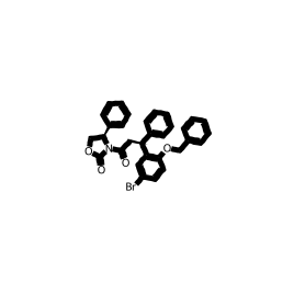 O=C(C[C@@H](c1ccccc1)c1cc(Br)ccc1OCc1ccccc1)N1C(=O)OC[C@H]1c1ccccc1